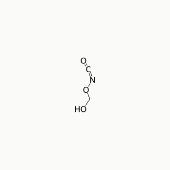 O=C=NOCO